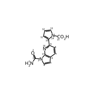 NC(=O)n1ccc2ccc(-c3cccn3C(=O)O)nc21